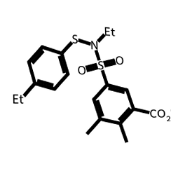 CCc1ccc(SN(CC)S(=O)(=O)c2cc(C)c(C)c(C(=O)O)c2)cc1